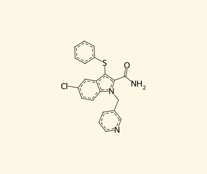 NC(=O)c1c(Sc2ccccc2)c2cc(Cl)ccc2n1Cc1cccnc1